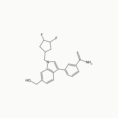 NC(=S)c1cccc(-c2cn(CC3CC(F)C(F)C3)c3cc(CO)ccc23)c1